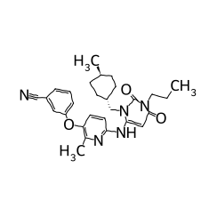 CCCn1c(=O)cc(Nc2ccc(Oc3cccc(C#N)c3)c(C)n2)n(C[C@H]2CC[C@H](C)CC2)c1=O